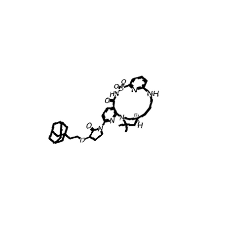 CC1(C)C[C@@H]2CCCNc3cccc(n3)S(=O)(=O)NC(=O)c3ccc(N4CCC(OCCC56CC7CC(CC(C7)C5)C6)C4=O)nc3N1C2